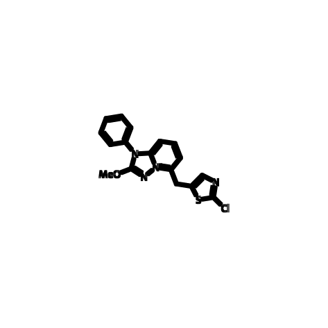 COc1n[n+]2c(Cc3cnc(Cl)s3)cccc2n1-c1ccccc1